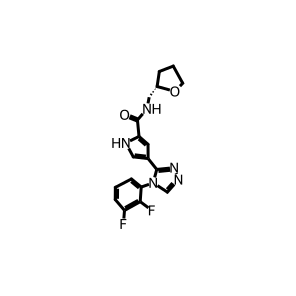 O=C(NC[C@@H]1CCCO1)c1cc(-c2nncn2-c2cccc(F)c2F)c[nH]1